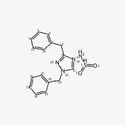 N[SH](=O)=O.c1ccc(Cc2ncn(Cc3ccccc3)n2)cc1